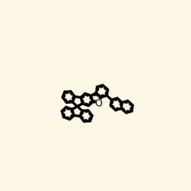 c1ccc2c(c1)-c1ccccc1C21c2ccccc2-c2cc3c(cc21)oc1c(-c2ccc4ccccc4c2)cccc13